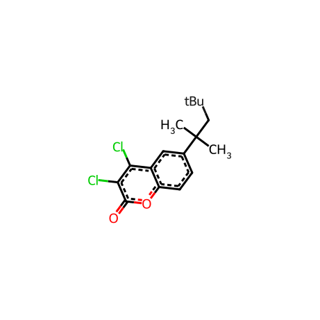 CC(C)(C)CC(C)(C)c1ccc2oc(=O)c(Cl)c(Cl)c2c1